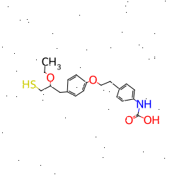 CCOC(CS)Cc1ccc(OCCc2ccc(NC(=O)O)cc2)cc1